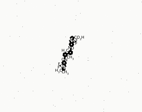 Cc1c(-c2nc3cc(CN4CC[C@H](C(=O)O)C4)c(OC(F)F)cc3o2)cccc1-c1cccc(-c2nc3cc(CN4CC(C)(C)C4)c(OC(F)F)cc3o2)c1C